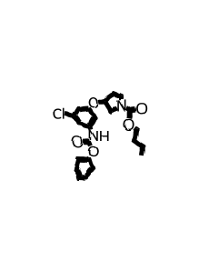 CCCCOC(=O)N1CCC(Oc2cc(Cl)cc(NC(=O)Oc3ccccc3)c2)C1